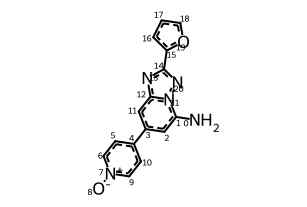 Nc1cc(-c2cc[n+]([O-])cc2)cc2nc(-c3ccco3)nn12